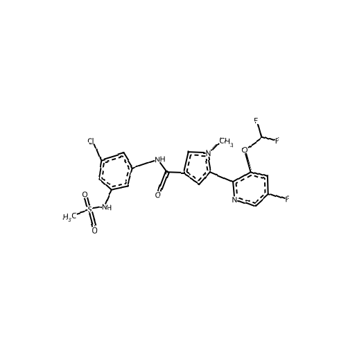 Cn1cc(C(=O)Nc2cc(Cl)cc(NS(C)(=O)=O)c2)cc1-c1ncc(F)cc1OC(F)F